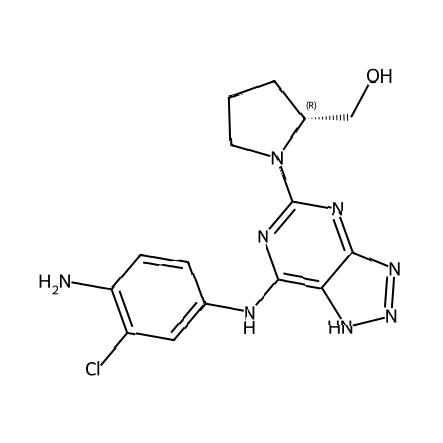 Nc1ccc(Nc2nc(N3CCC[C@@H]3CO)nc3nn[nH]c23)cc1Cl